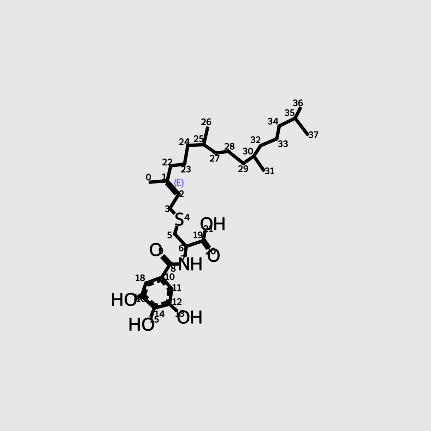 C/C(=C\CSCC(NC(=O)c1cc(O)c(O)c(O)c1)C(=O)O)CCCC(C)CCCC(C)CCCC(C)C